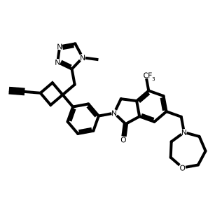 C#CC1CC(Cc2nncn2C)(c2cccc(N3Cc4c(cc(CN5CCCOCC5)cc4C(F)(F)F)C3=O)c2)C1